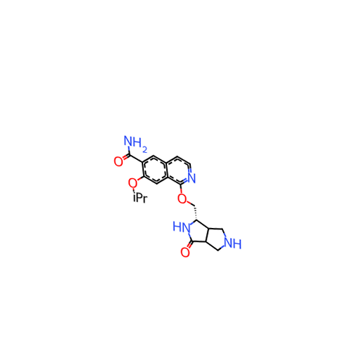 CC(C)Oc1cc2c(OC[C@H]3NC(=O)C4CNCC43)nccc2cc1C(N)=O